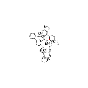 Bc1ccc(N2/C(N)=C/C(C)=C\C(=C\C(C=C)=C\C)c3cc(C4=CCCCC4)ccc3-c3ccc4c(c32)C(C)(C)c2ccccc2-4)c(-c2ccccc2)c1